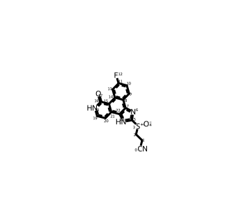 N#CCC[S+]([O-])c1nc2c3ccc(F)cc3c3c(=O)[nH]ccc3c2[nH]1